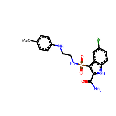 COc1ccc(NCCNS(=O)(=O)c2c(C(N)=O)[nH]c3ccc(Br)cc23)cc1